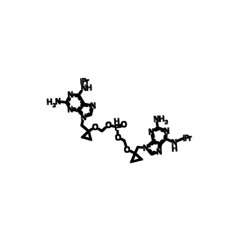 CC(C)Nc1nc(N)nc2c1ncn2CC1(OCO[PH](=O)OCOC2(Cn3cnc4c(NC(C)C)nc(N)nc43)CC2)CC1